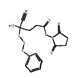 CC(C#N)(CCC(=O)ON1C(=O)CCC1=O)SSSc1ccccc1